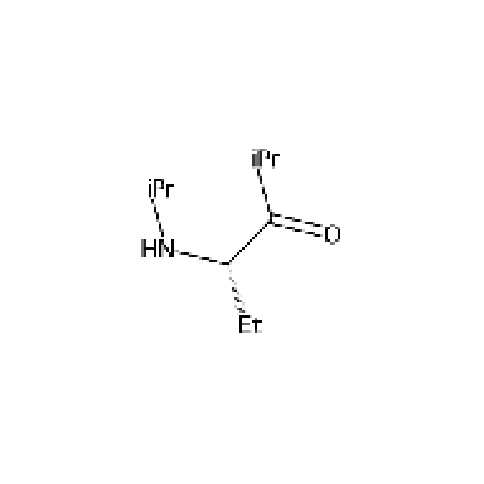 CC[C@H](NC(C)C)C(=O)C(C)C